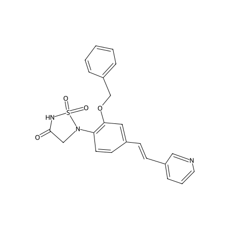 O=C1CN(c2ccc(C=Cc3cccnc3)cc2OCc2ccccc2)S(=O)(=O)N1